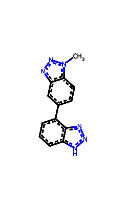 Cn1nnc2cc(-c3[c]ccc4[nH]nnc34)ccc21